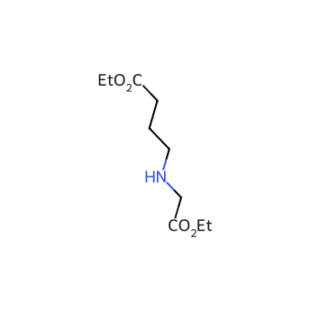 CCOC(=O)CCCNCC(=O)OCC